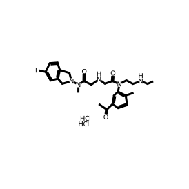 CCNCCN(C(=O)CNCC(=O)N(C)N1Cc2ccc(F)cc2C1)c1cc(C(C)=O)ccc1C.Cl.Cl